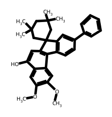 COc1cc2c(O)cc3c(c2cc1OC)-c1ccc(-c2ccccc2)cc1C31CC(C)(C)CC(C)(C)C1